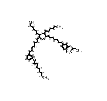 C=C(CC)Oc1cccc(CCCCCCCC2SSC(CCCCCCCc3cccc(OC(=O)CCCCCCC)c3)C(CCCCCC)SC2CCCCCC)c1